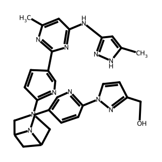 Cc1cc(Nc2cc(C)[nH]n2)nc(-c2ccc(N3CC4CC(C3)N4Cc3ccc(-n4ccc(CO)n4)nc3)nc2)n1